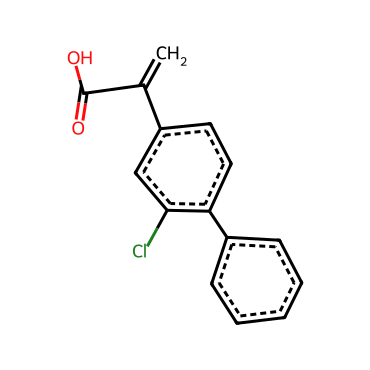 C=C(C(=O)O)c1ccc(-c2ccccc2)c(Cl)c1